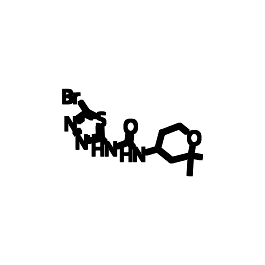 CC1(C)CC(NC(=O)Nc2nnc(Br)s2)CCO1